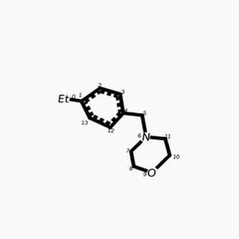 [CH2]Cc1ccc(CN2CCOCC2)cc1